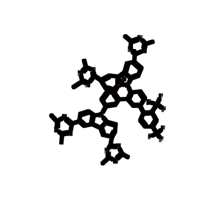 Cc1nc(C)nc(-c2ccc3c(c2)c2cc(-c4nc(C)nc(C)n4)ccc2n3-c2ccc(C#N)c(-c3cc(-c4ccc(C(F)(F)F)cc4C(F)(F)F)ccc3-n3c4ccc(-c5nc(C)nc(C)n5)cc4c4cc(-c5nc(C)nc(C)n5)ccc43)c2)n1